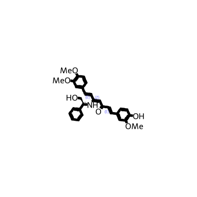 COc1cc(/C=C/C(=O)/C=C(/C=C/c2ccc(OC)c(OC)c2)N[C@H](CO)c2ccccc2)ccc1O